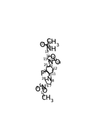 CCON(C=O)[C@H]1CCN(c2ccc(N3C[C@H](CNC(C)=O)OC3=O)cc2F)C1